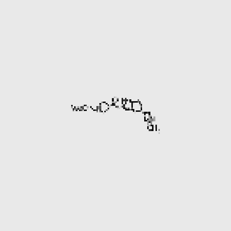 COCCN1CCC(C(=O)Cc2cc3cc(-c4cnn(C)c4)ccc3cn2)CC1